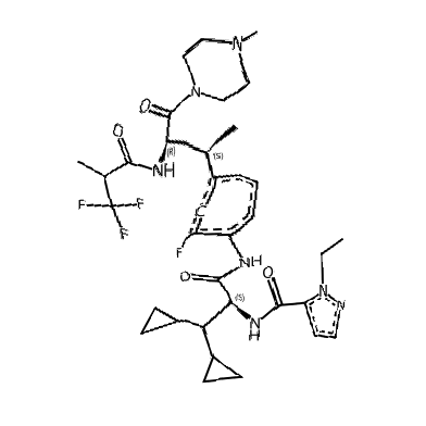 CCn1nccc1C(=O)N[C@H](C(=O)Nc1ccc([C@H](C)[C@@H](NC(=O)C(C)C(F)(F)F)C(=O)N2CCN(C)CC2)cc1F)C(C1CC1)C1CC1